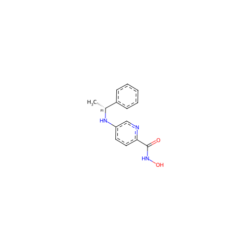 C[C@@H](Nc1ccc(C(=O)NO)nc1)c1ccccc1